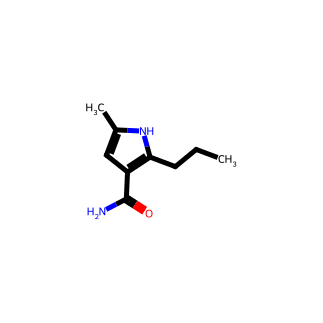 CCCc1[nH]c(C)cc1C(N)=O